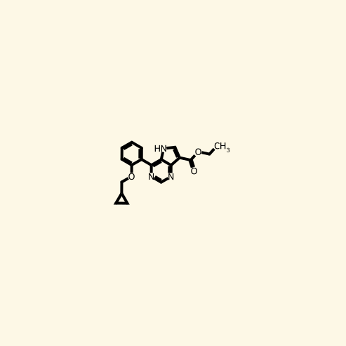 CCOC(=O)c1c[nH]c2c(-c3ccccc3OCC3CC3)ncnc12